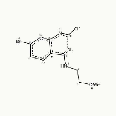 COCCNc1nc(Cl)nc2cc(Br)ccc12